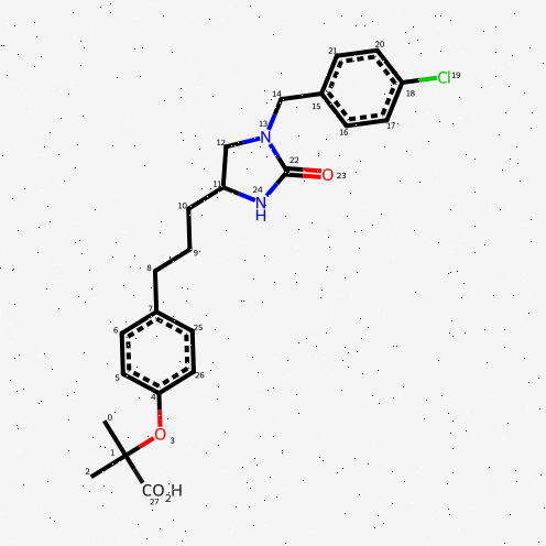 CC(C)(Oc1ccc(CCCC2CN(Cc3ccc(Cl)cc3)C(=O)N2)cc1)C(=O)O